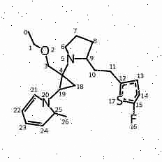 CCOCC1(N2CCCC2CCc2ccc(F)s2)CC1N1C=CC=CC1C